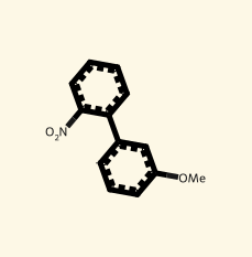 COc1cc[c]c(-c2ccccc2[N+](=O)[O-])c1